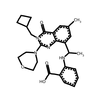 Cc1cc(C(C)Nc2ccccc2C(=O)O)c2nc(N3CCOCC3)n(CC3CCC3)c(=O)c2c1